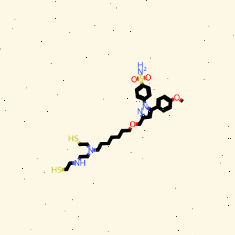 COc1ccc(-c2cc(COCCCCCCCN(CCS)CCNCCS)nn2-c2ccc(S(N)(=O)=O)cc2)cc1